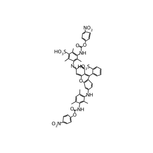 Cc1cc(C)c(Nc2ccc3c(-c4ccccc4S(=O)(=O)O)c4cc/c(=N\c5c(C)c(NC(=O)Oc6ccc([N+](=O)[O-])cc6)c(C)c(S(=O)(=O)O)c5C)cc-4oc3c2)c(C)c1NC(=O)Oc1ccc([N+](=O)[O-])cc1